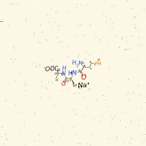 CPCCC(N)C(=O)N[C@@H](C)C(=O)N[C@@H](C)C(=O)[O-].[Na+]